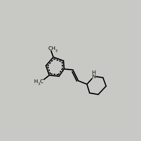 Cc1cc(C)cc(/C=C/C2CCCCN2)c1